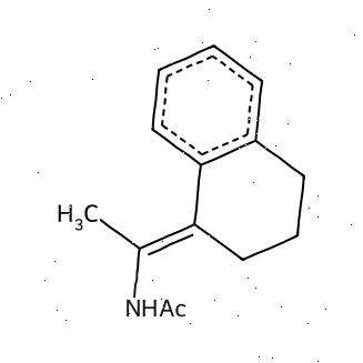 CC(=O)NC(C)=C1CCCc2ccccc21